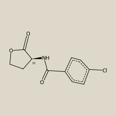 O=C(N[C@H]1CCOC1=O)c1ccc(Cl)cc1